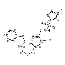 Cn1cnc(S(=O)(=O)NCc2cc3c(cc2F)CCCNC3Cc2ccccc2)c1